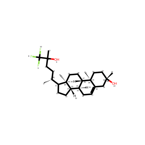 C[C@H](CCC(C)(O)C(F)(F)F)C1CC[C@H]2[C@@H]3CC=C4C[C@@](C)(O)CC[C@]4(C)[C@H]3CC[C@]12C